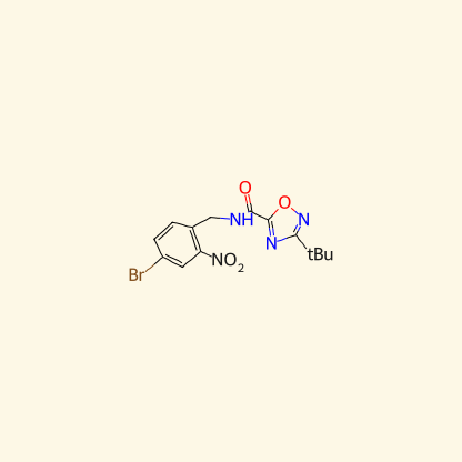 CC(C)(C)c1noc(C(=O)NCc2ccc(Br)cc2[N+](=O)[O-])n1